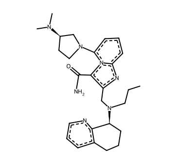 CCCN(Cc1nc2cccc(N3CC[C@@H](N(C)C)C3)n2c1C(N)=O)[C@H]1CCCc2cccnc21